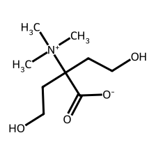 C[N+](C)(C)C(CCO)(CCO)C(=O)[O-]